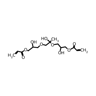 C=CC(=O)OCC(O)COCC(C)(O)OCC(O)COC(=O)C=C